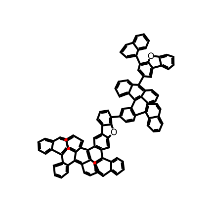 c1ccc(-c2c3ccccc3c(-c3cc4c(cc3-c3cccc5ccccc35)oc3c(-c5ccc(-c6cccc7ccccc67)c(-c6c7ccccc7c(-c7cc(-c8cccc9ccccc89)c8oc9ccccc9c8c7)c7ccccc67)c5)cccc34)c3ccccc23)c(-c2cccc3ccccc23)c1